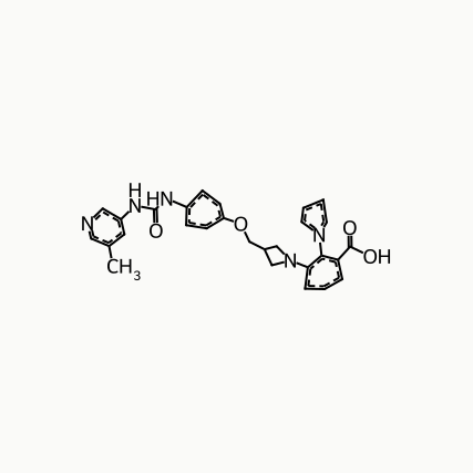 Cc1cncc(NC(=O)Nc2ccc(OCC3CN(c4cccc(C(=O)O)c4-n4cccc4)C3)cc2)c1